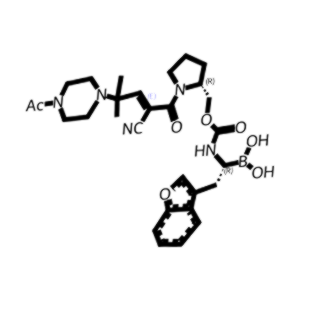 CC(=O)N1CCN(C(C)(C)/C=C(\C#N)C(=O)N2CCC[C@@H]2COC(=O)N[C@@H](Cc2coc3ccccc23)B(O)O)CC1